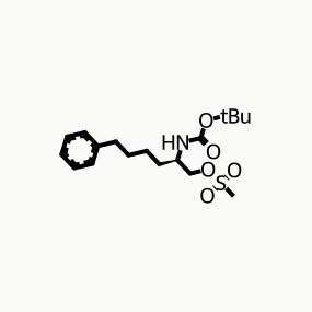 CC(C)(C)OC(=O)N[C@H](CCCCc1ccccc1)COS(C)(=O)=O